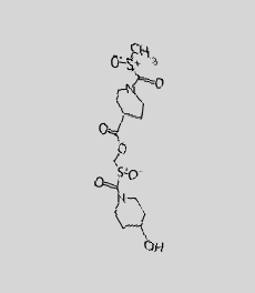 C[S+]([O-])C(=O)N1CCC(C(=O)OC[S+]([O-])C(=O)N2CCC(O)CC2)CC1